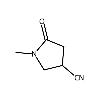 CN1CC(C#N)[CH]C1=O